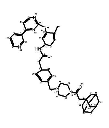 CC1=CCC(NC(=O)CC2C=CC(CN3CCN(C(=O)CC45CC6CC(CC(C6)C4)C5)CC3)=CC2)C=C1Nc1nccc(-c2cccnc2)n1